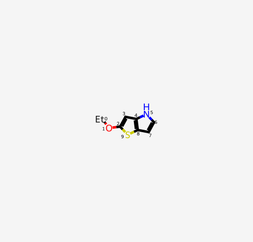 CCOc1cc2[nH]ccc2s1